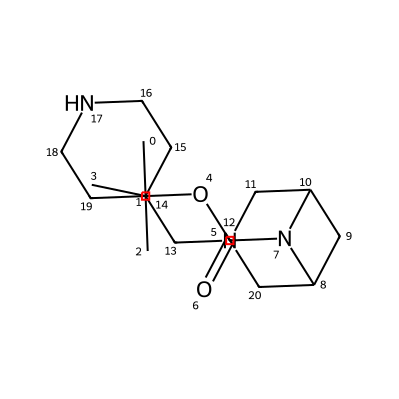 CC(C)(C)OC(=O)N1C2CC1CN(CC1CCNCC1)C2